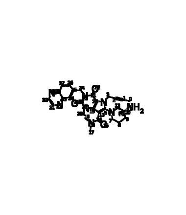 CC#CCn1c(N2CCC[C@@H](N)C2)c(C(=O)N(C)C)c2c1c(=O)n(Cc1ccc3nccnc3c1)c(=O)n2C